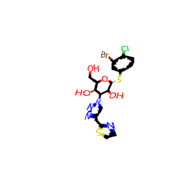 OCC1O[C@H](Sc2ccc(Cl)c(Br)c2)C(O)C(n2cc(-c3nccs3)nn2)[C@H]1O